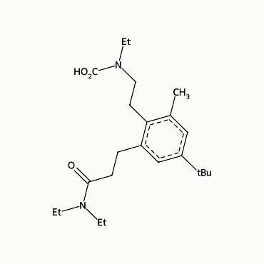 CCN(CCc1c(C)cc(C(C)(C)C)cc1CCC(=O)N(CC)CC)C(=O)O